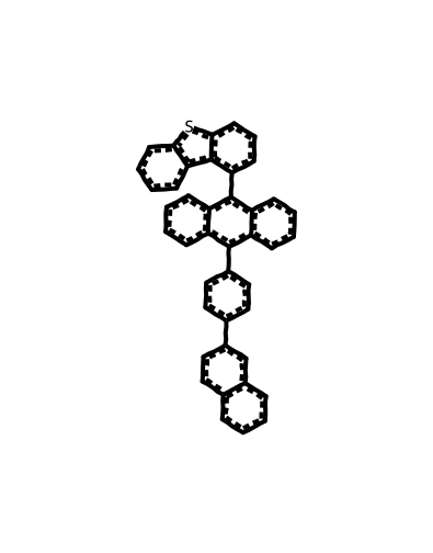 c1ccc2cc(-c3ccc(-c4c5ccccc5c(-c5cccc6sc7ccccc7c56)c5ccccc45)cc3)ccc2c1